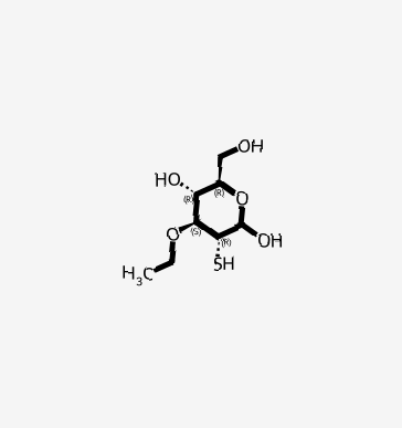 CCO[C@H]1[C@H](O)[C@@H](CO)OC(O)[C@@H]1S